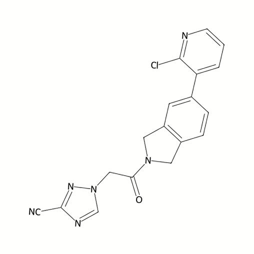 N#Cc1ncn(CC(=O)N2Cc3ccc(-c4cccnc4Cl)cc3C2)n1